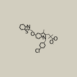 COC(=O)C(C)(C)Cc1c(C)c2cc(OCc3nc4ccccc4s3)ccc2n1Cc1ccc(Cl)cc1